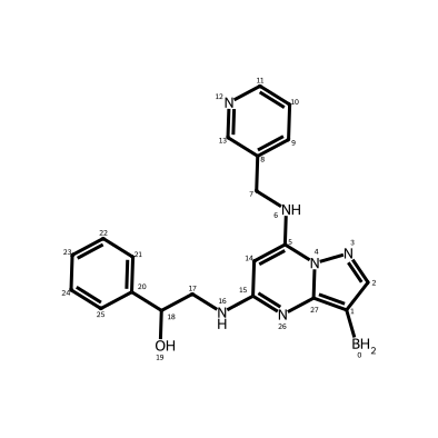 Bc1cnn2c(NCc3cccnc3)cc(NCC(O)c3ccccc3)nc12